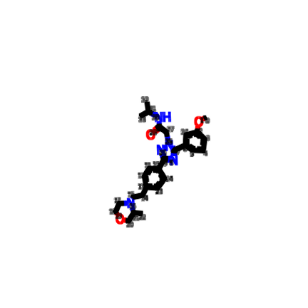 COc1cccc(-c2nc(-c3ccc(CCN4CCOCC4C)cc3)nn2CC(=O)NC(C)C)c1